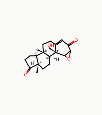 C[C@]12CC[C@H]3[C@@H](CCC4=CC(=O)C5OC5[C@@]43CO)[C@@H]1CCC2=O